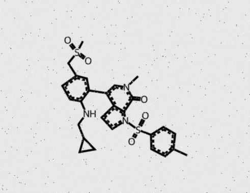 Cc1ccc(S(=O)(=O)n2ccc3c(-c4cc(CS(C)(=O)=O)ccc4NCC4CC4)cn(C)c(=O)c32)cc1